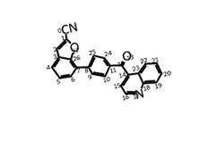 N#Cc1cc2cccc(-c3ccc(C(=O)c4ccnc5ccccc45)cc3)c2o1